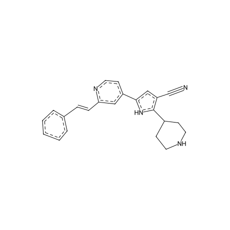 N#Cc1cc(-c2ccnc(/C=C/c3ccccc3)c2)[nH]c1C1CCNCC1